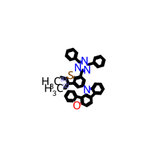 C/C=c1\c(=C/C)sc2c(-c3nc(-c4ccccc4)nc(-c4ccccc4)n3)cc(-n3c4ccccc4c4ccc5oc6ccccc6c5c43)cc12